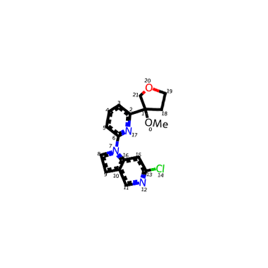 COC1(c2cccc(-n3ccc4cnc(Cl)cc43)n2)CCOC1